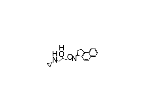 OC(CNC1CC1)CO/N=C1\CCc2c1ccc1ccccc21